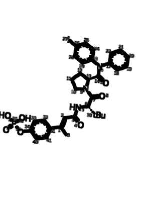 C/C(=C\C(=O)N[C@H](C(=O)N1CCC[C@H]1C(=O)N(c1ccccc1)c1ccc(I)cc1)C(C)(C)C)c1ccc(OP(=O)(O)O)cc1